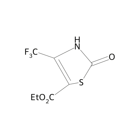 CCOC(=O)c1sc(=O)[nH]c1C(F)(F)F